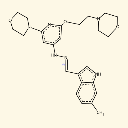 Cc1ccc2c(/C=N/Nc3cc(OCCN4CCOCC4)nc(N4CCOCC4)c3)c[nH]c2c1